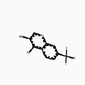 FC(F)(F)c1ccc2c(Cl)c(Br)cnc2c1